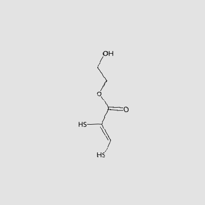 O=C(OCCO)C(S)=CS